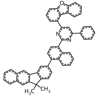 CC1(C)c2ccc(-c3ccc(-c4nc(-c5ccccc5)cc(-c5cccc6oc7ccccc7c56)n4)c4ccccc34)cc2-c2cc3ccccc3cc21